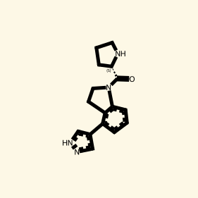 O=C([C@@H]1CCCN1)N1CCc2c(-c3cn[nH]c3)cccc21